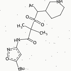 CC(=O)C(C1CCCNC1)S(=O)(=O)C(C)(C)C(=O)Nc1cc(C(C)(C)C)on1